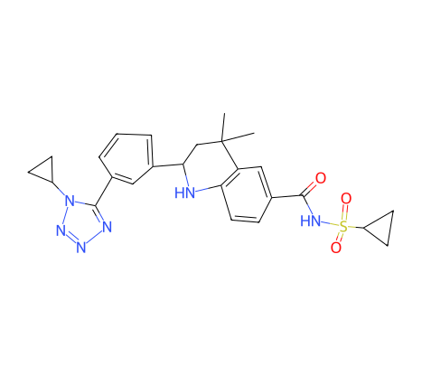 CC1(C)CC(c2cccc(-c3nnnn3C3CC3)c2)Nc2ccc(C(=O)NS(=O)(=O)C3CC3)cc21